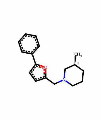 C[C@H]1CCCN(Cc2ccc(-c3ccccc3)o2)C1